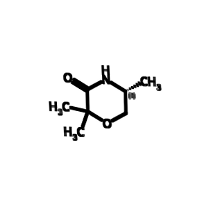 C[C@@H]1COC(C)(C)C(=O)N1